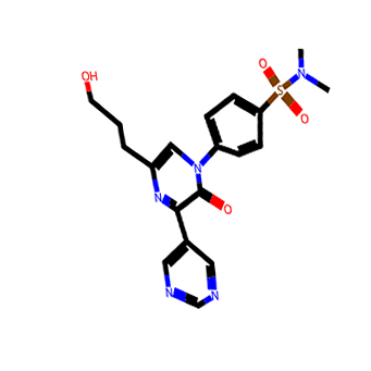 CN(C)S(=O)(=O)c1ccc(-n2cc(CCCO)nc(-c3cncnc3)c2=O)cc1